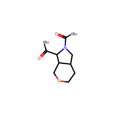 CC(C)(C)C(=O)C1C2COCCC2CN1C(=O)C(C)(C)C